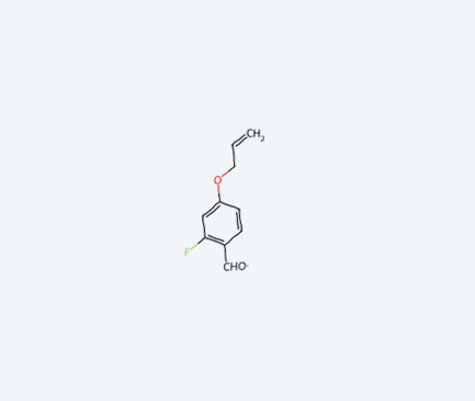 C=CCOc1ccc([C]=O)c(F)c1